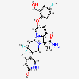 CC(C(N)=O)(c1ccc(Oc2ccc(F)cc2CO)cn1)N1CCC(F)(F)C(c2ccc(=O)[nH]c2)C1